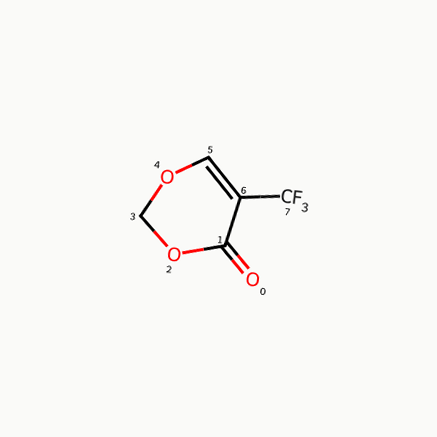 O=C1OCOC=C1C(F)(F)F